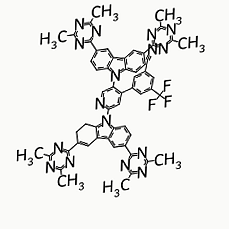 Cc1nc(C)nc(C2=Cc3c(n(-c4cc(-c5cc(C#N)cc(C(F)(F)F)c5)c(-n5c6ccc(-c7nc(C)nc(C)n7)cc6c6cc(-c7nc(C)nc(C)n7)ccc65)cn4)c4ccc(-c5nc(C)nc(C)n5)cc34)CC2)n1